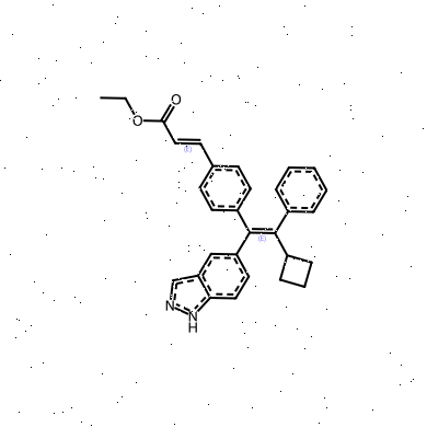 CCOC(=O)/C=C/c1ccc(/C(=C(\c2ccccc2)C2CCC2)c2ccc3[nH]ncc3c2)cc1